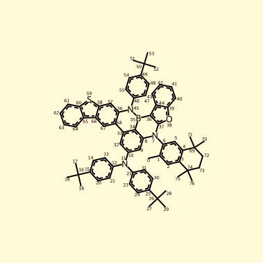 Cc1cc2c(cc1N1c3cc(N(c4ccc(C(C)(C)C)cc4)c4ccc(C(C)(C)C)cc4)cc4c3B(c3c1oc1ccccc31)N(c1ccc(C(C)(C)C)cc1)c1cc3sc5ccccc5c3cc1-4)C(C)(C)CCC2(C)C